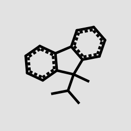 CC(C)C1(C)c2ccccc2-c2ccccc21